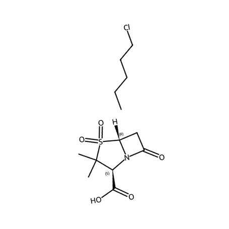 CC1(C)[C@H](C(=O)O)N2C(=O)C[C@H]2S1(=O)=O.CCCCCCl